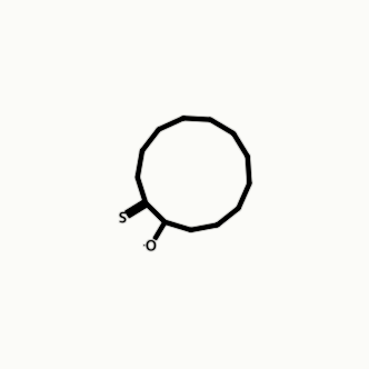 [O]C1CCCCCCCCCCCC1=S